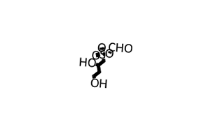 O=COS(=O)(=O)CC(O)CCO